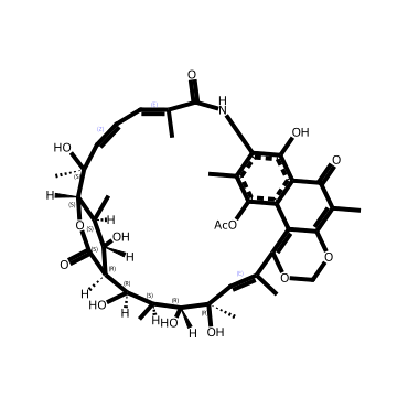 CC(=O)Oc1c(C)c2c(O)c3c1C1=C(OCOC1=C(C)C3=O)/C(C)=C/[C@@](C)(O)[C@H](O)[C@@H](C)[C@@H](O)[C@H]1C(=O)O[C@@H]([C@@H](C)[C@@H]1O)[C@@](C)(O)/C=C\C=C(/C)C(=O)N2